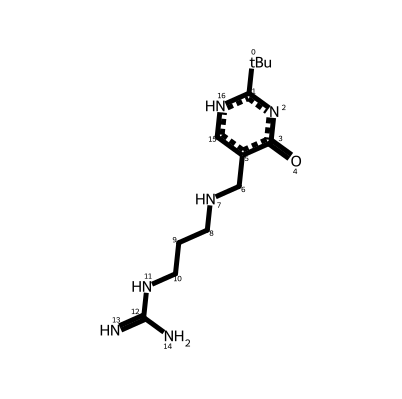 CC(C)(C)c1nc(=O)c(CNCCCNC(=N)N)c[nH]1